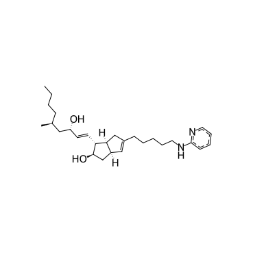 CCCC[C@H](C)C[C@H](O)/C=C/[C@@H]1[C@H]2CC(CCCCCNc3ccccn3)=C[C@H]2C[C@H]1O